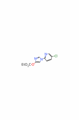 CCOC(=O)Oc1cn(-c2ccc(Cl)cn2)cn1